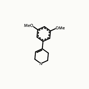 COc1cc(OC)cc(C2=CC[N]CC2)c1